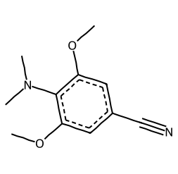 COc1cc(C#N)cc(OC)c1N(C)C